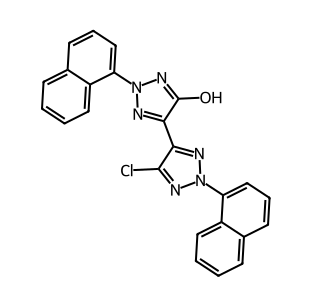 Oc1nn(-c2cccc3ccccc23)nc1-c1nn(-c2cccc3ccccc23)nc1Cl